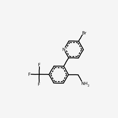 NCc1ccc(C(F)(F)F)cc1-c1ccc(Br)cn1